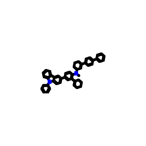 CN(c1ccc(-c2ccc3c(c2)c2ccccc2n3-c2ccccc2)cc1C1=CCCCC1)C1C=C(c2ccc(-c3ccccc3)cc2)CCC1